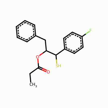 CCC(=O)OC(Cc1ccccc1)C(S)c1ccc(F)cc1